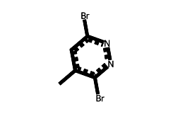 Cc1cc(Br)nnc1Br